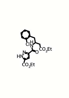 CCOC(=O)CC(Cc1ccccc1Cl)NC(=O)c1cc(C(=O)OCC)[nH]n1